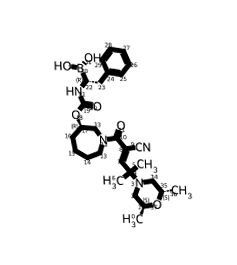 C[C@H]1CN(C(C)(C)C=C(C#N)C(=O)N2CCCC[C@@H](OC(=O)N[C@@H](Cc3ccccc3)B(O)O)C2)C[C@H](C)O1